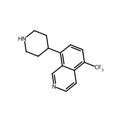 FC(F)(F)c1ccc(C2CCNCC2)c2cnccc12